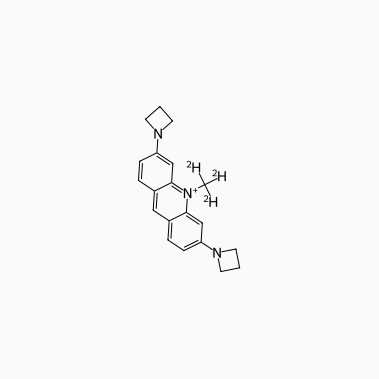 [2H]C([2H])([2H])[n+]1c2cc(N3CCC3)ccc2cc2ccc(N3CCC3)cc21